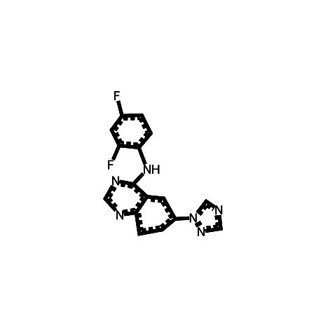 Fc1ccc(Nc2ncnc3ccc(-n4cncn4)cc23)c(F)c1